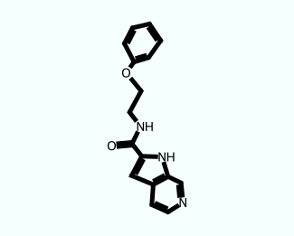 O=C(NCCOc1ccccc1)c1cc2ccncc2[nH]1